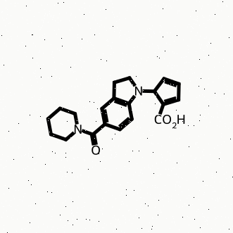 O=C(O)C1=CC=CC1N1CCc2cc(C(=O)N3CCCCC3)ccc21